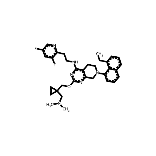 CCc1cccc2cccc(N3CCc4c(nc(OCC5(CN(C)C)CC5)nc4NCCc4ncc(F)cc4F)C3)c12